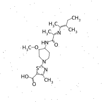 CC/C(C)=C(C)/N=C(\C)C(=O)NC1CCN(c2nc(C)c(C(=O)O)s2)C[C@@H]1OC